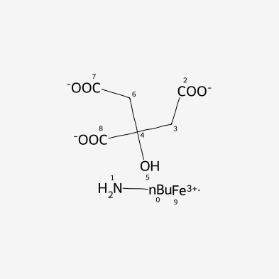 CCCCN.O=C([O-])CC(O)(CC(=O)[O-])C(=O)[O-].[Fe+3]